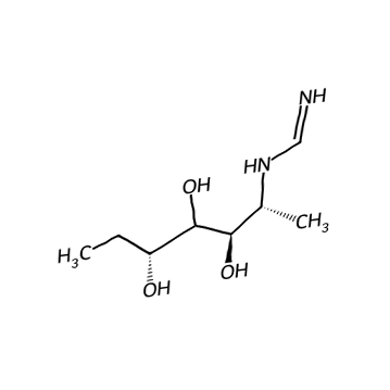 CC[C@@H](O)C(O)[C@H](O)[C@@H](C)NC=N